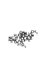 Cc1cc2c(Nc3c(F)c([C@@]4(C)CCC(OC(=O)n5ccnc5)C4)nn3C(C)(C)C)nccn2n1